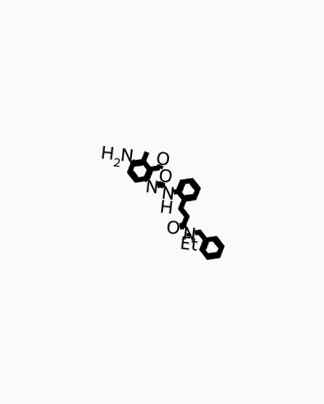 CCN(Cc1ccccc1)C(=O)CCc1ccccc1Nc1nc2ccc(N)c(C)c2c(=O)o1